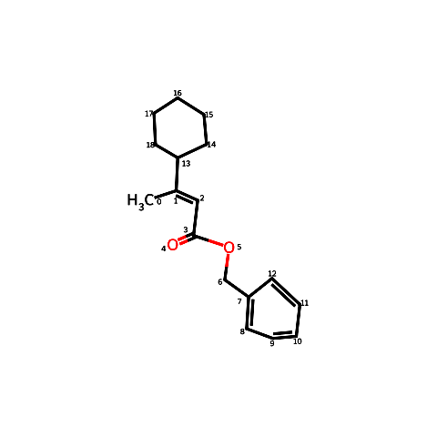 C/C(=C\C(=O)OCc1ccccc1)C1CCCCC1